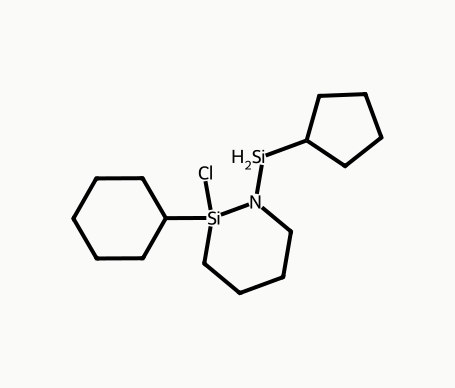 Cl[Si]1(C2CCCCC2)CCCCN1[SiH2]C1CCCC1